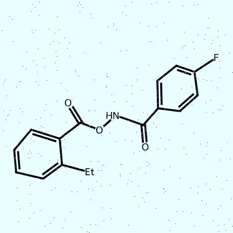 CCc1ccccc1C(=O)ONC(=O)c1ccc(F)cc1